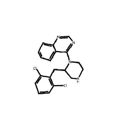 Clc1cccc(Cl)c1CC1CNCCN1c1ncnc2ccccc12